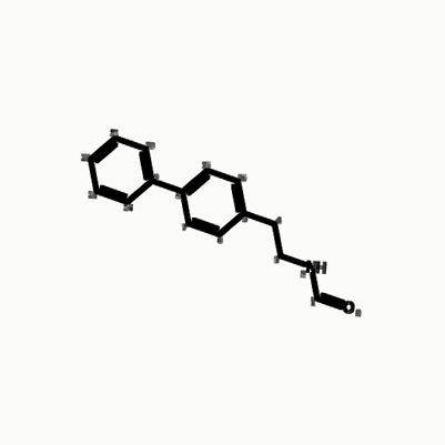 O=[C]NCCc1ccc(-c2ccccc2)cc1